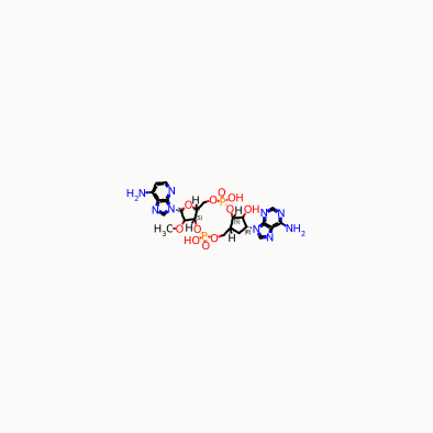 COC1[C@H]2OP(=O)(O)OC[C@H]3C[C@@H](n4cnc5c(N)ncnc54)C(O)[C@H]3OP(=O)(O)OC[C@H]2O[C@H]1n1cnc2c(N)ccnc21